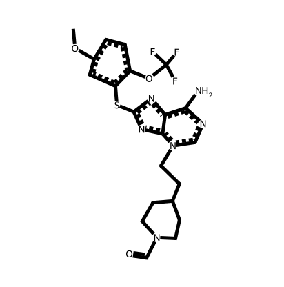 COc1ccc(OC(F)(F)F)c(Sc2nc3c(N)ncn(CCC4CCN(C=O)CC4)c-3n2)c1